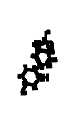 Cc1nc2cc(C3CCC(C)CN3)ccc2o1